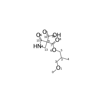 COCC(C)COC(=O)C1(C(=O)O)CNC1=O